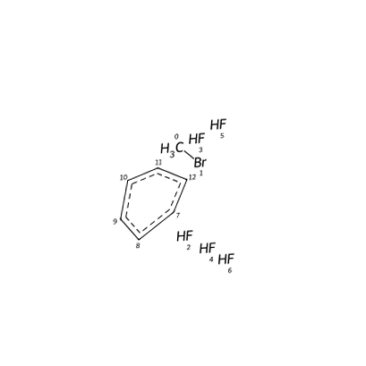 CBr.F.F.F.F.F.c1ccccc1